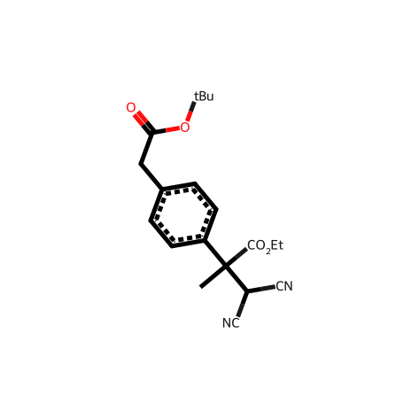 CCOC(=O)C(C)(c1ccc(CC(=O)OC(C)(C)C)cc1)C(C#N)C#N